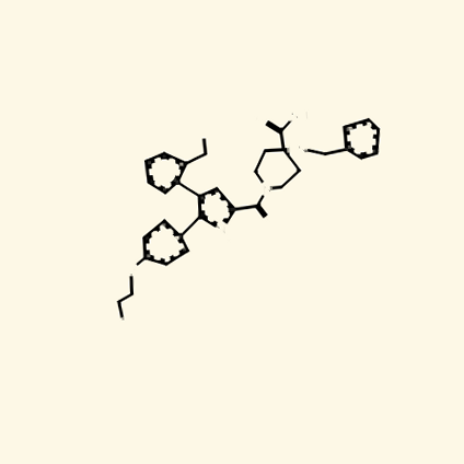 Cn1c(C(=O)N2CCC(NCc3ccccc3)(C(N)=O)CC2)cc(-c2ccccc2CI)c1-c1ccc(OCCO)cc1